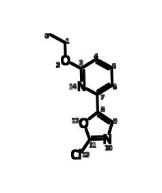 CCOc1cccc(-c2cnc(Cl)o2)n1